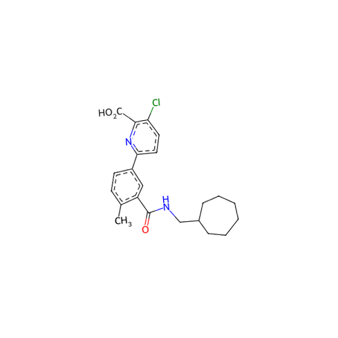 Cc1ccc(-c2ccc(Cl)c(C(=O)O)n2)cc1C(=O)NCC1CCCCCC1